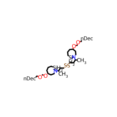 CCCCCCCCCCCOCOC1CCC[SiH2]N(C(C)CCSSCCC(C)N2CCC(OCOCCCCCCCCCCC)CCC[SiH2]2)CC1